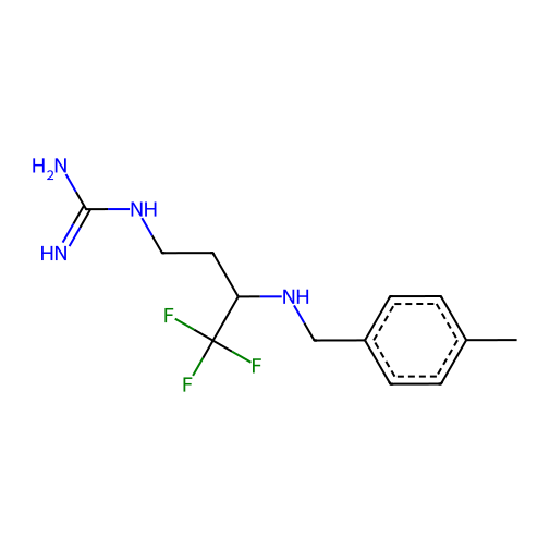 Cc1ccc(CNC(CCNC(=N)N)C(F)(F)F)cc1